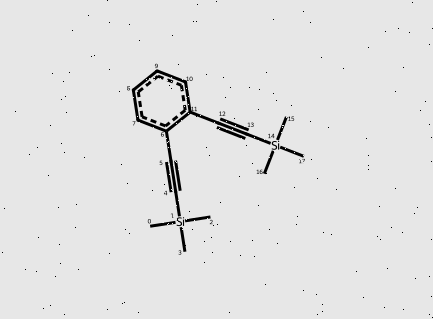 C[Si](C)(C)C#Cc1ccccc1C#C[Si](C)(C)C